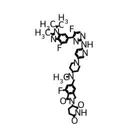 Cc1nc2c(F)cc(-c3nc(Nc4ccc(N5CCC(N(C)Cc6cc(F)c7c(c6)CN(C6CCC(=O)NC6=O)C7=O)CC5)cn4)ncc3F)cc2n1C(C)C